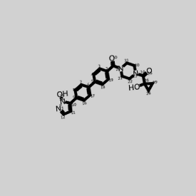 O=C(c1ccc(-c2ccc(-c3ccnn3O)cc2)cc1)N1CCN(C(=O)C2(O)CC2)CC1